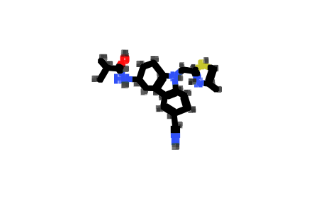 Cc1csc(Cn2c3c(c4cc(C#N)ccc42)CC(NC(=O)C(C)C)CC3)n1